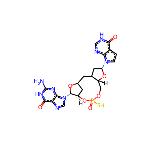 Nc1nc2c(ncn2[C@@H]2OC3CC4C[C@H](n5ccc6c(=O)[nH]cnc65)O[C@@H]4COP(=O)(S)O[C@@H]2C3)c(=O)[nH]1